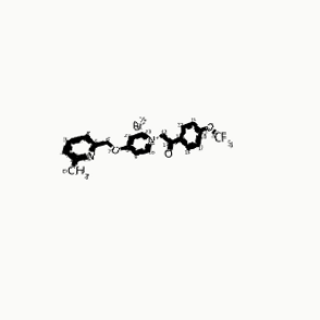 Cc1cccc(COc2cc[n+](CC(=O)c3ccc(OC(F)(F)F)cc3)cc2)n1.[Br-]